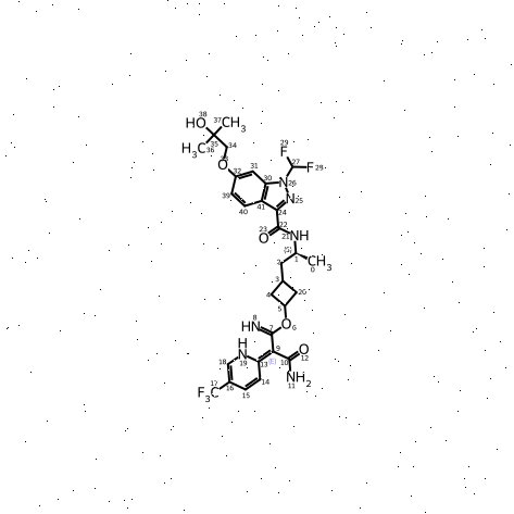 C[C@@H](CC1CC(OC(=N)/C(C(N)=O)=C2/C=CC(C(F)(F)F)=CN2)C1)NC(=O)c1nn(C(F)F)c2cc(OCC(C)(C)O)ccc12